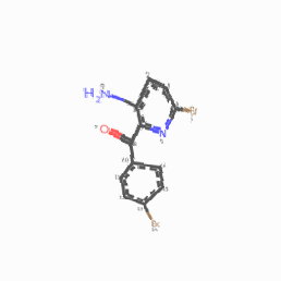 Nc1ccc(Br)nc1C(=O)c1ccc(Br)cc1